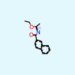 CCO/C(C)=N\C(=O)c1ccc2ccccc2c1